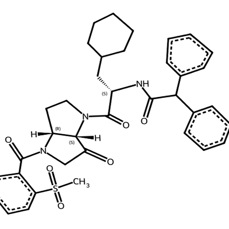 CS(=O)(=O)c1ccccc1C(=O)N1CC(=O)[C@@H]2[C@H]1CCN2C(=O)[C@H](CC1CCCCC1)NC(=O)C(c1ccccc1)c1ccccc1